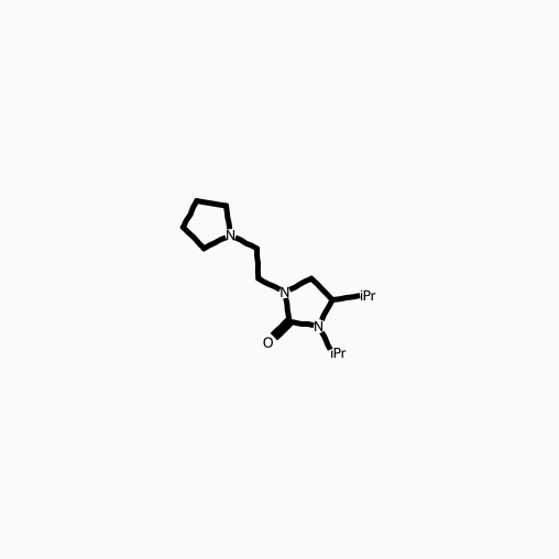 CC(C)C1CN(CCN2CCCC2)C(=O)N1C(C)C